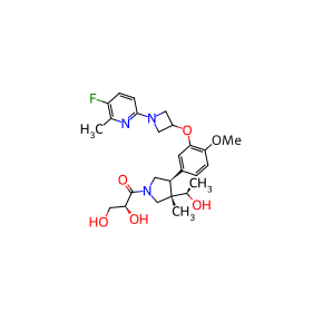 COc1ccc([C@@H]2CN(C(=O)[C@@H](O)CO)C[C@@]2(C)[C@@H](C)O)cc1OC1CN(c2ccc(F)c(C)n2)C1